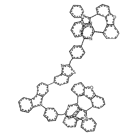 c1ccc(-c2nc(-c3ccc(-c4nc5cc(-c6ccc7c8ccccc8n(-c8cccc(-c9nc(-c%10ccccc%10)nc(-c%10cccc%11oc%12cccc(-c%13nc%14ccccc%14s%13)c%12c%10%11)n9)c8)c7c6)ccc5s4)cc3)nc(-c3cccc4oc5cccc(-c6nc7ccccc7s6)c5c34)n2)cc1